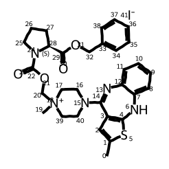 Cc1cc2c(s1)Nc1ccccc1N=C2N1CC[N+](C)(COC(=O)N2CCC[C@H]2C(=O)OCc2ccccc2)CC1.[I-]